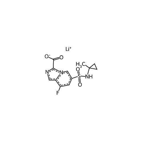 CC1(NS(=O)(=O)c2cc(F)c3cnc(C(=O)[O-])n3c2)CC1.[Li+]